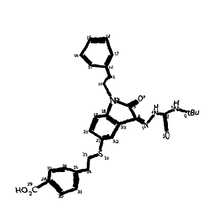 CC(C)(C)NC(=O)NN=C1C(=O)N(CCc2ccccc2)c2ccc(SCCc3ccc(C(=O)O)cc3)cc21